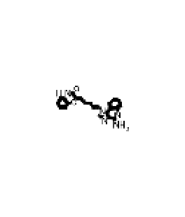 NC(=O)C(CCCCCn1cnc2c(N)nc3ccccc3c21)Oc1ccccc1